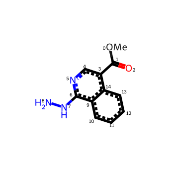 COC(=O)c1cnc(NN)c2ccccc12